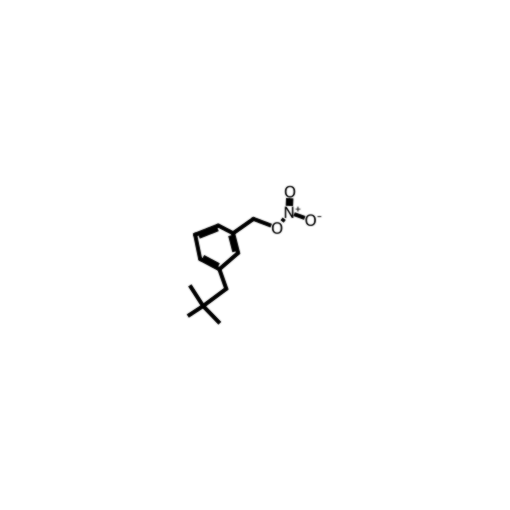 CC(C)(C)Cc1cccc(CO[N+](=O)[O-])c1